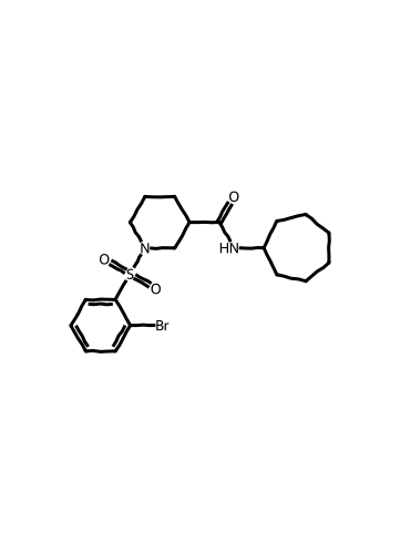 O=C(NC1CCCCCC1)C1CCCN(S(=O)(=O)c2ccccc2Br)C1